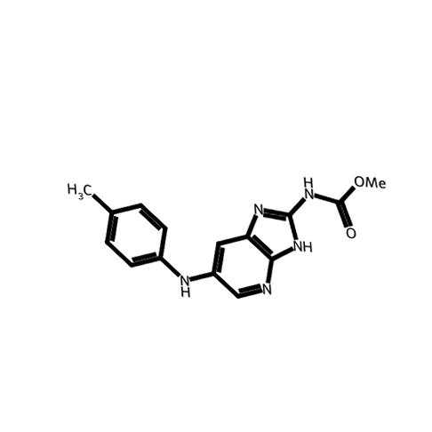 COC(=O)Nc1nc2cc(Nc3ccc(C)cc3)cnc2[nH]1